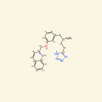 CCCC(CCc1nnn[nH]1)Cc1cccc(OCc2ccc3ccccc3n2)c1